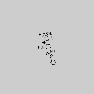 CC(C)(C)OC(=O)NC1CCC(NC(=O)OCc2ccccc2)CC1N